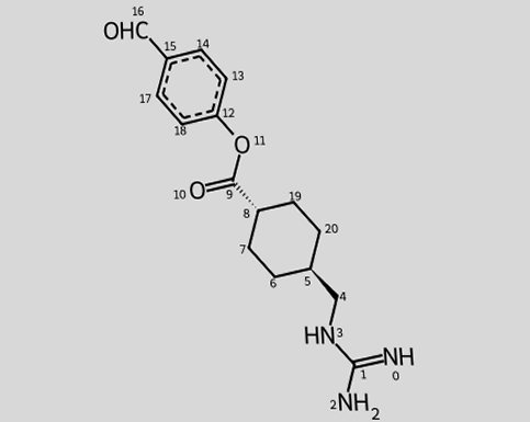 N=C(N)NC[C@H]1CC[C@H](C(=O)Oc2ccc(C=O)cc2)CC1